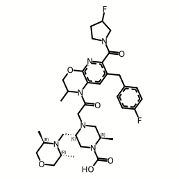 CC1COc2nc(C(=O)N3CCC(F)C3)c(Cc3ccc(F)cc3)cc2N1C(=O)CN1C[C@@H](C)N(C(=O)O)C[C@@H]1CN1[C@H](C)COC[C@H]1C